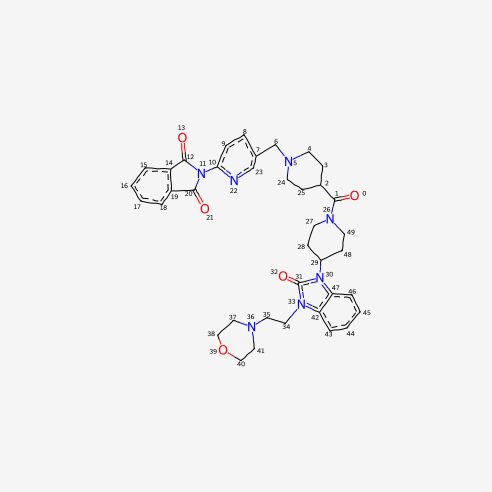 O=C(C1CCN(Cc2ccc(N3C(=O)c4ccccc4C3=O)nc2)CC1)N1CCC(n2c(=O)n(CCN3CCOCC3)c3ccccc32)CC1